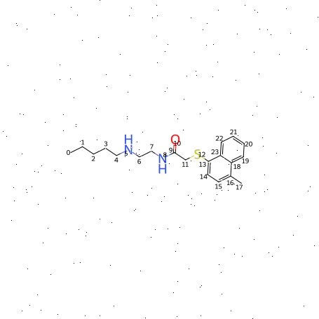 CCCCCNCCNC(=O)CSc1ccc(C)c2ccccc12